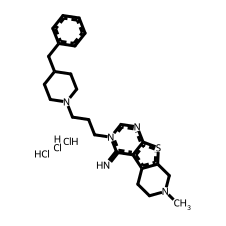 CN1CCc2c(sc3ncn(CCCN4CCC(Cc5ccccc5)CC4)c(=N)c23)C1.Cl.Cl.Cl